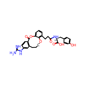 N=C(N)Nc1ccc2c(c1)CCCOc1c(CCC(=O)N[C@@H](Cc3ccc(O)cc3)C(=O)O)cccc1OC2=O